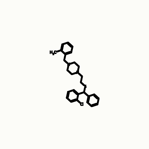 Cc1ccccc1CN1CCN(CCSC(c2ccccc2)c2ccccc2Cl)CC1